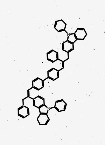 C1=CCCC(n2c3c(c4cc(C/C(=C/c5ccc(-c6ccc(/C=C(/Cc7ccccc7)c7ccc8c(c7)c7c(n8-c8ccccc8)C=CCC7)cc6)cc5)c5ccccc5)ccc42)CCC=C3)=C1